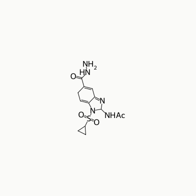 CC(=O)NC1N=C2C=C(C(=O)NN)CC=C2N1S(=O)(=O)C1CC1